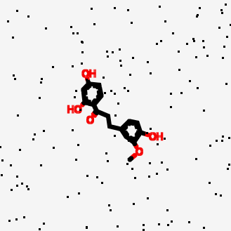 COc1cc(CCC(=O)c2ccc(O)cc2O)ccc1O